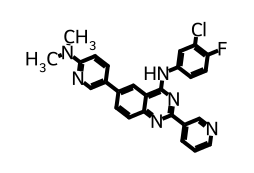 CN(C)c1ccc(-c2ccc3nc(-c4cccnc4)nc(Nc4ccc(F)c(Cl)c4)c3c2)cn1